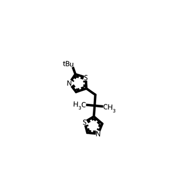 CC(C)(C)c1ncc(CC(C)(C)c2cncs2)s1